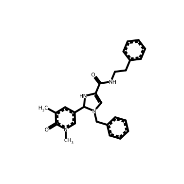 Cc1cc(C2NC(C(=O)NCCc3ccccc3)=CN2Cc2ccccc2)cn(C)c1=O